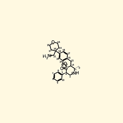 C[C@@H]1NC[C@@H](c2ccccc2)S(=O)(=O)C1Cc1ccc(C2(CN)CCOCC2)cc1F